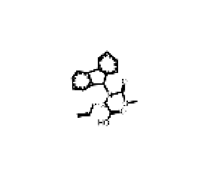 C=CC[C@@H](C(=O)O)N(C(=O)OC)C1c2ccccc2-c2ccccc21